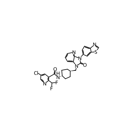 O=C(N[C@H]1CC[C@H](Cn2c(=O)n(-c3ccc4ncsc4c3)c3ncccc32)CC1)c1cc(Cl)cnc1C(F)F